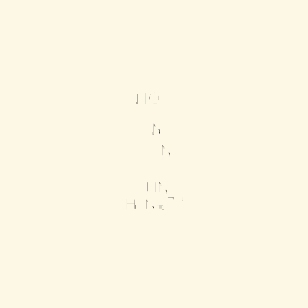 C[C@@H](N)C(=O)NCCCN1CCN(CCO)CC1